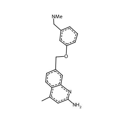 CNCc1cccc(OCc2ccc3c(C)cc(N)nc3c2)c1